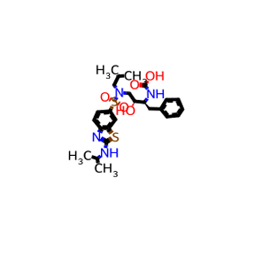 CC(C)CN(C[C@@H](O)[C@H](Cc1ccccc1)NC(=O)O)S(=O)(=O)c1ccc2nc(NC(C)C)sc2c1